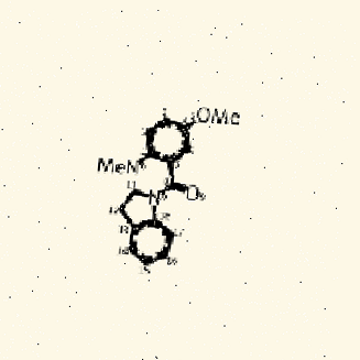 CNc1ccc(OC)cc1C(=O)N1CCc2ccccc21